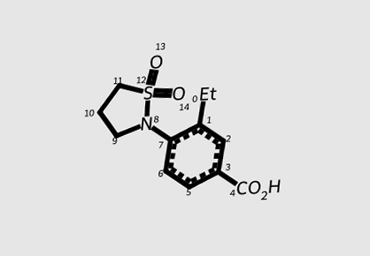 CCc1cc(C(=O)O)ccc1N1CCCS1(=O)=O